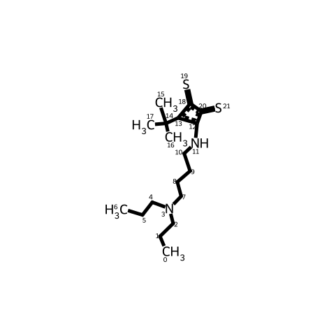 CCCN(CCC)CCCCNc1c(C(C)(C)C)c(=S)c1=S